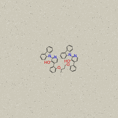 CC(C[C@H](C)Oc1ccccc1-c1ccnc(-n2c3ccccc3c3ccccc32)c1O)Oc1ccccc1-c1ccnc(-n2c3ccccc3c3ccccc32)c1O